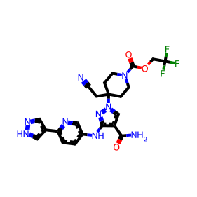 N#CCC1(n2cc(C(N)=O)c(Nc3ccc(-c4cn[nH]c4)nc3)n2)CCN(C(=O)OCC(F)(F)F)CC1